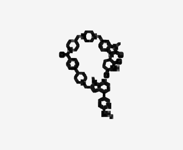 Cn1c(CN2CCC(c3ccc(C(=O)N4CCC(CN5CCN(Cc6ccc7c(c6)n(C)c(=O)n7C6CCC(=O)NC6=O)CC5)CC4)cc3)CC2)cc2c(-c3ccc(N)nc3)ccnc21